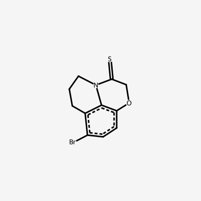 S=C1COc2ccc(Br)c3c2N1CCC3